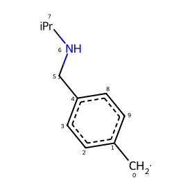 [CH2]c1ccc([CH]NC(C)C)cc1